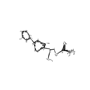 CC(COC(N)=O)c1ccc(-c2ccccc2)cc1